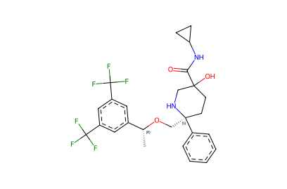 C[C@@H](OC[C@@]1(c2ccccc2)CCC(O)(C(=O)NC2CC2)CN1)c1cc(C(F)(F)F)cc(C(F)(F)F)c1